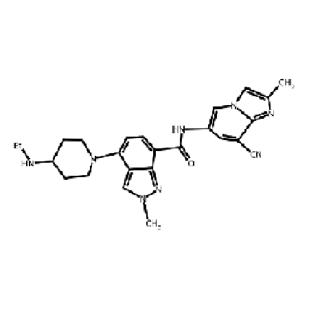 CCNC1CCN(c2ccc(C(=O)Nc3cc(C#N)c4nc(C)cn4c3)c3nn(C)cc23)CC1